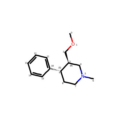 COC[C@H]1CN(C)CC[C@@H]1c1ccccc1